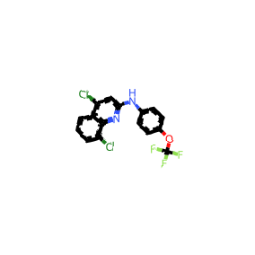 FC(F)(F)Oc1ccc(Nc2cc(Cl)c3cccc(Cl)c3n2)cc1